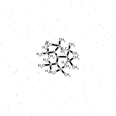 C[Si](C)(C)[N]([In]([N]([Si](C)(C)C)[Si](C)(C)C)[N]([Si](C)(C)C)[Si](C)(C)C)[Si](C)(C)C.[N]